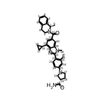 C[C@@H]1c2ccccc2CCN1C(=O)c1cc(C2CC2)c2nc(-c3ccc(N4CC[C@H](C(N)=O)C4)cc3F)n(C)c2c1